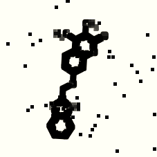 Cc1c(C)c2ccc(OCc3nc4ccccc4[nH]3)cc2oc1=O